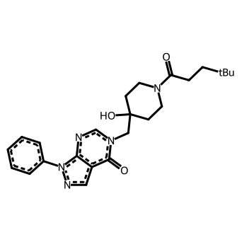 CC(C)(C)CCC(=O)N1CCC(O)(Cn2cnc3c(cnn3-c3ccccc3)c2=O)CC1